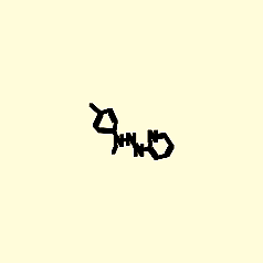 Cc1ccc(N(C)N=Nc2ccccn2)cc1